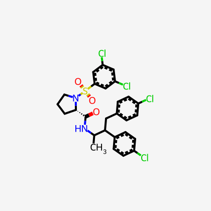 CC(NC(=O)[C@@H]1CCCN1S(=O)(=O)c1cc(Cl)cc(Cl)c1)C(Cc1ccc(Cl)cc1)c1ccc(Cl)cc1